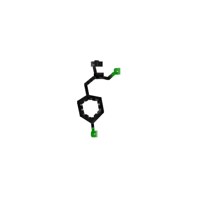 CCCC[SiH](CCl)Cc1ccc(Cl)cc1